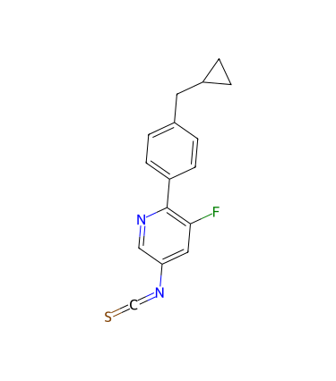 Fc1cc(N=C=S)cnc1-c1ccc(CC2CC2)cc1